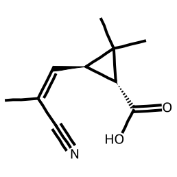 C/C(C#N)=C/[C@@H]1[C@@H](C(=O)O)C1(C)C